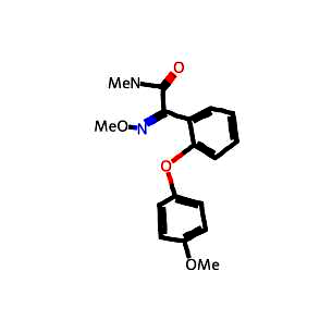 CNC(=O)C(=NOC)c1ccccc1Oc1ccc(OC)cc1